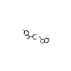 Fc1ccc2c(c1)C(CN1CC=C(c3c[nH]c4cc(Cl)ccc34)CC1)CC2